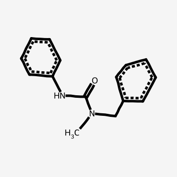 CN(Cc1ccccc1)C(=O)Nc1ccccc1